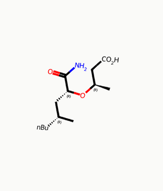 CCCC[C@@H](C)C[C@@H](O[C@H](C)CC(=O)O)C(N)=O